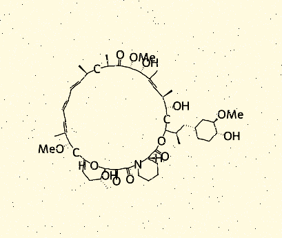 CO[C@H]1C[C@@H]2CC[C@@H](C)[C@@](O)(O2)C(=O)C(=O)N2CCCC[C@H]2C(=O)OC([C@H](C)C[C@H]2CC[C@@H](O)[C@H](OC)C2)C[C@@H](O)[C@H](C)/C=C(\C)[C@@H](O)[C@@H](OC)C(=O)[C@H](C)C[C@H](C)/C=C/C=C/C=C/1C